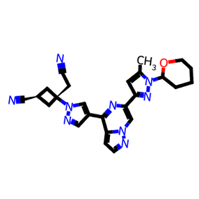 Cc1cc(-c2cn3nccc3c(-c3cnn([C@]4(CC#N)C[C@@H](C#N)C4)c3)n2)nn1C1CCCCO1